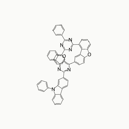 c1ccc(-c2nc(-c3ccccc3)nc(-c3cccc4oc5ccc(-c6nc(-c7ccc8c9ccccc9n(-c9ccccc9)c8c7)nc7c6oc6ccccc67)cc5c34)n2)cc1